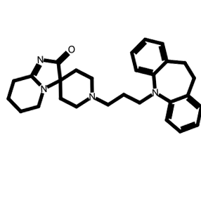 O=C1N=C2CCCCN2C12CCN(CCCN1c3ccccc3CCc3ccccc31)CC2